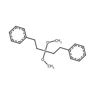 CO[Si](CCc1ccccc1)(CCc1ccccc1)OC